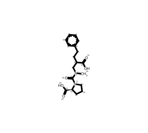 CN(CC(CCc1ccccc1)C(=O)O)C(=O)N1CCC[C@H]1C(=O)O